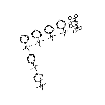 C[N+](C)(C)c1ccccc1.C[N+](C)(C)c1ccccc1.C[N+](C)(C)c1ccccc1.C[N+](C)(C)c1ccccc1.C[N+](C)(C)c1ccccc1.C[N+](C)(C)c1ccccc1.[O-][Si]([O-])([O-])O[Si]([O-])([O-])[O-]